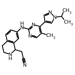 Cc1cnc(Nc2ccc3c(c2)C(CC#N)NCC3)nc1-c1cnn(C(C)C)c1